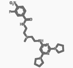 CN(CCNC(=O)c1ccc([N+](=O)[O-])c(F)c1)CCNc1cc(N2CCCC2)nc(N2CCCC2)n1